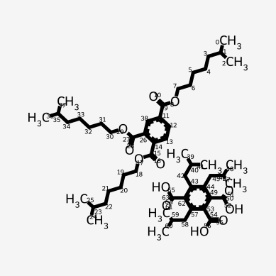 CC(C)CCCCCOC(=O)c1ccc(C(=O)OCCCCCC(C)C)c(C(=O)OCCCCCC(C)C)c1.CC(C)Cc1c(CC(C)C)c(C(=O)O)c(C(=O)O)c(CC(C)C)c1C(=O)O